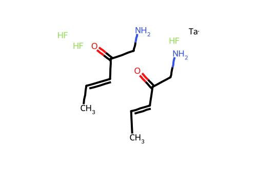 C/C=C/C(=O)CN.C/C=C/C(=O)CN.F.F.F.[Ta]